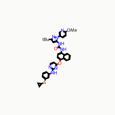 COc1ccc(-n2nc(C(C)(C)C)cc2NC(=O)Nc2ccc(Oc3ccnc(Nc4cccc(SC5CC5)c4)n3)c3ccccc23)cn1